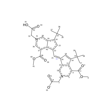 COC(=O)c1c[n+](CC(=O)[O-])cc2c1C(C(C)(C)C)=C/C2=C\c1cc(C(C)(C)C)c2cn(CC(=O)O)cc(C(=O)OC)c1-2